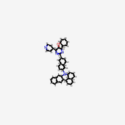 c1ccc2cc3c(cc2c1)-c1cccc2cccc(c12)N3c1ccc2cc(-c3nc(-c4ccncc4)c4oc5ccccc5c4n3)ccc2c1